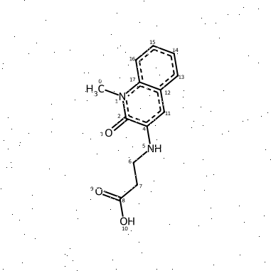 Cn1c(=O)c(NCCC(=O)O)cc2ccccc21